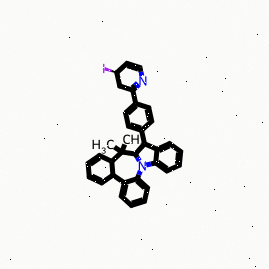 CC1(C)C2C=CC=CC2c2ccccc2N2c3ccccc3C(c3ccc(C4=NC=C[C@H](I)C4)cc3)C21